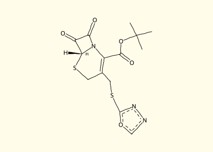 CC(C)(C)OC(=O)C1=C(CSc2nnco2)CS[C@@H]2C(=O)C(=O)N12